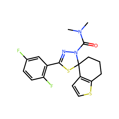 CN(C)C(=O)N1N=C(c2cc(F)ccc2F)SC12CCCc1sccc12